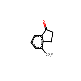 O=C(O)c1cccc2c1CCC2=O